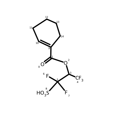 O=C(OC(C(F)(F)F)C(F)(F)S(=O)(=O)O)C1=CCCCC1